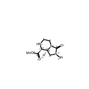 COC(=O)[C@H]1NCCN2C(=O)N(C(C)C)C[C@@H]12